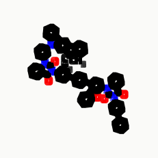 CC1(C)c2ccccc2-c2cc3c4ccccc4n(-c4cccc(-n5c(=O)n(-c6ccc(-c7ccc(-c8ccc(-n9c(=O)n(-c%10ccc(-c%11ccccc%11)cc%10)c(=O)c%10ccccc%109)c9oc%10ccccc%10c89)cc7)cc6)c(=O)c6ccccc65)c4)c3cc21